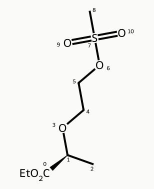 CCOC(=O)[C@H](C)OCCOS(C)(=O)=O